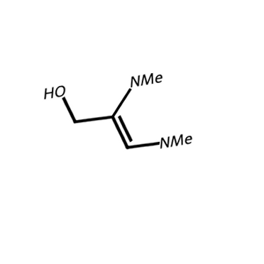 CN/C=C(/CO)NC